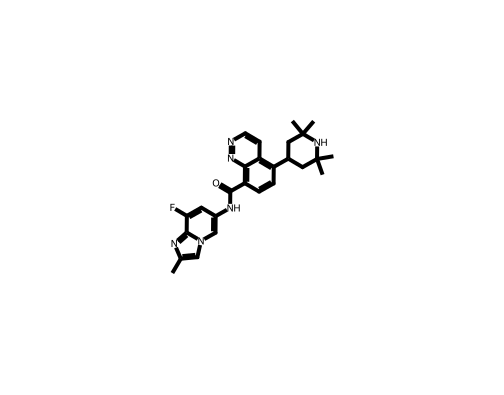 Cc1cn2cc(NC(=O)c3ccc(C4CC(C)(C)NC(C)(C)C4)c4ccnnc34)cc(F)c2n1